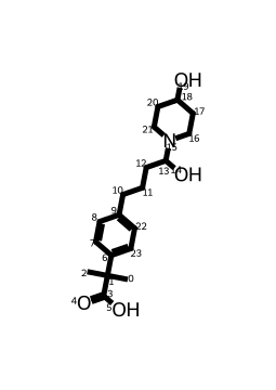 CC(C)(C(=O)O)c1ccc(CCCC(O)N2CCC(O)CC2)cc1